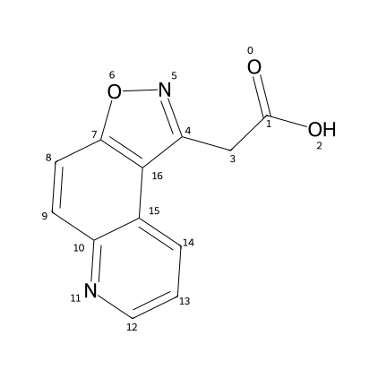 O=C(O)Cc1noc2ccc3ncccc3c12